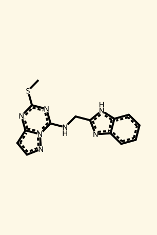 CSc1nc(NCc2nc3ccccc3[nH]2)n2nccc2n1